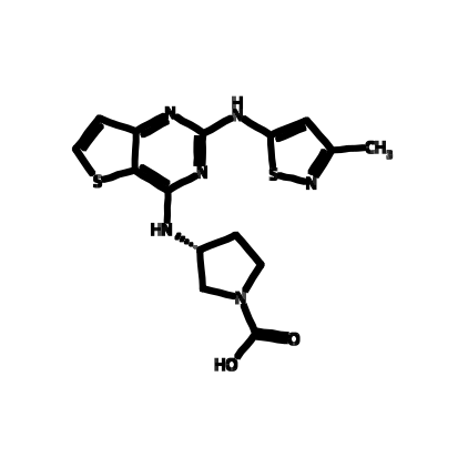 Cc1cc(Nc2nc(N[C@@H]3CCN(C(=O)O)C3)c3sccc3n2)sn1